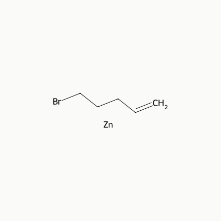 C=CCCCBr.[Zn]